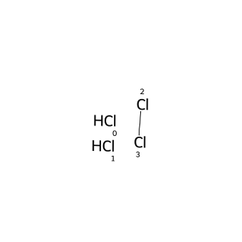 Cl.Cl.ClCl